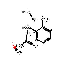 C=C(C)C(=O)O.C=O.CC(=O)O.O=C(O)c1ccccc1C(=O)O